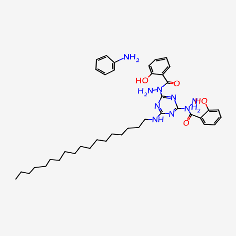 CCCCCCCCCCCCCCCCCCNc1nc(N(N)C(=O)c2ccccc2O)nc(N(N)C(=O)c2ccccc2O)n1.Nc1ccccc1